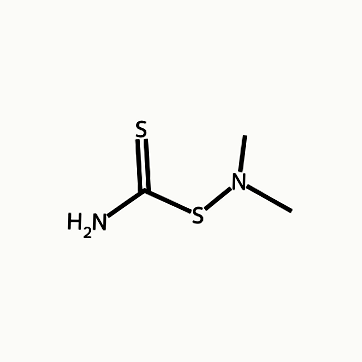 CN(C)SC(N)=S